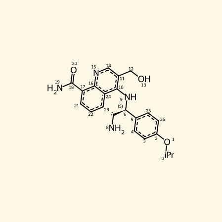 CC(C)Oc1ccc([C@@H](CN)Nc2c(CO)cnc3c(C(N)=O)cccc23)cc1